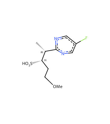 COCC[C@@H]([C@H](C)c1ncc(F)cn1)S(=O)(=O)O